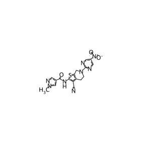 Cn1cc(C(=O)Nc2sc3c(c2C#N)CCN(c2ncc([N+](=O)[O-])cn2)C3)cn1